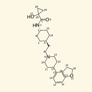 O=C(N[C@H]1CC[C@H](CCN2CCC(c3cccc4c3CCO4)CC2)CC1)C1(O)CC1